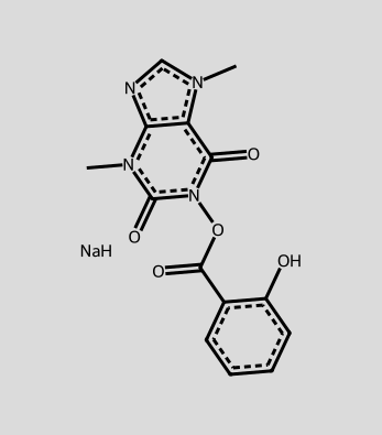 Cn1cnc2c1c(=O)n(OC(=O)c1ccccc1O)c(=O)n2C.[NaH]